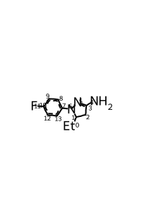 CCC1CC(N)=NN1c1ccc(F)cc1